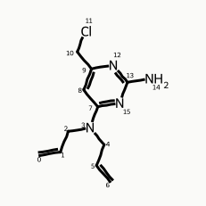 C=CCN(CC=C)c1cc(CCl)nc(N)n1